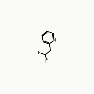 FC(F)Cc1ccccn1